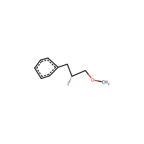 COC[C@H](I)Cc1ccccc1